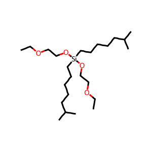 CCOCCO[Si](CCCCCC(C)C)(CCCCCC(C)C)OCCOCC